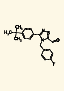 CC(C)(C)c1ccc(-c2nnc(C=O)n2Cc2ccc(F)cc2)cc1